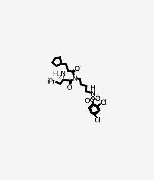 CC(C)C[C@H](N)C(=O)N(CCCCNS(=O)(=O)c1ccc(Cl)cc1Cl)C(=O)CCC1CCCC1